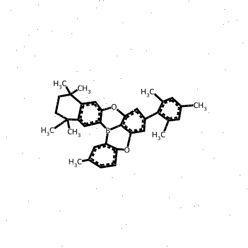 Cc1cc(C)c(-c2cc3c4c(c2)Oc2cc5c(cc2B4c2cc(C)ccc2O3)C(C)(C)CCC5(C)C)c(C)c1